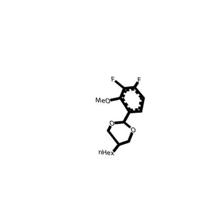 CCCCCCC1COC(c2ccc(F)c(F)c2OC)OC1